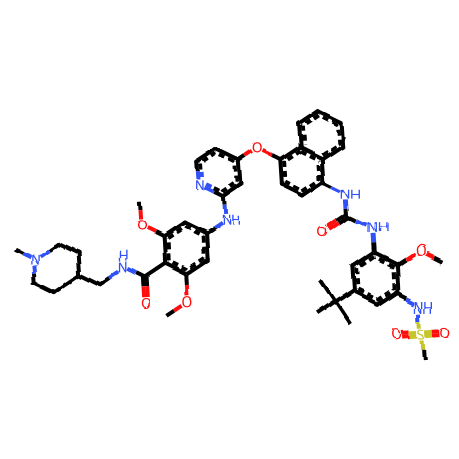 COc1cc(Nc2cc(Oc3ccc(NC(=O)Nc4cc(C(C)(C)C)cc(NS(C)(=O)=O)c4OC)c4ccccc34)ccn2)cc(OC)c1C(=O)NCC1CCN(C)CC1